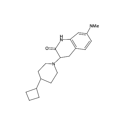 CNc1ccc2c(c1)NC(=O)C(N1CCC(C3CCC3)CC1)C2